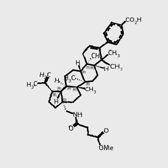 C=C(C)[C@@H]1CC[C@]2(CNC(=O)CCC(=O)OC)CC[C@]3(C)[C@H](CC[C@@H]4[C@@]5(C)CC=C(c6ccc(C(=O)O)cc6)C(C)(C)[C@@H]5CC[C@]43C)[C@@H]12